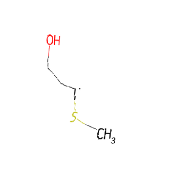 CS[CH]CO